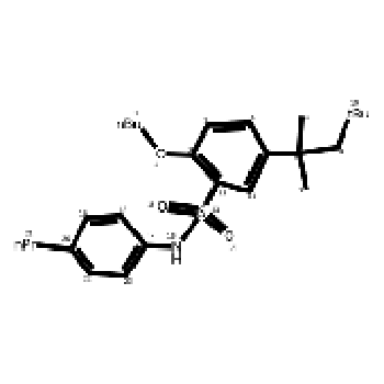 CCCCOc1ccc(C(C)(C)CC(C)(C)C)cc1S(=O)(=O)Nc1ccc(CCC)cc1